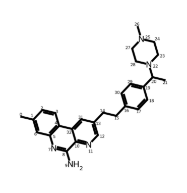 Cc1ccc2c(c1)nc(N)c1ncc(CCc3ccc(C(C)N4CCN(C)CC4)cc3)cc12